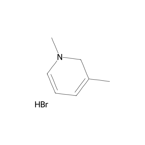 Br.CC1=CC=CN(C)C1